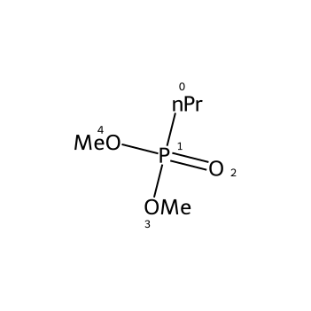 CCCP(=O)(OC)OC